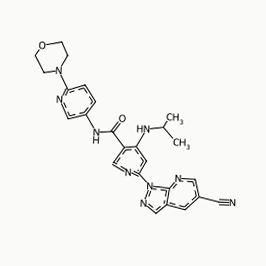 CC(C)Nc1cc(-n2ncc3cc(C#N)cnc32)ncc1C(=O)Nc1ccc(N2CCOCC2)nc1